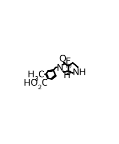 Cc1cc(CN2C[C@@H]3CNCC[C@]3(F)C2=O)ccc1C(=O)O